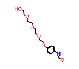 O=CNc1ccc(OCCOCCOCCOCCO)cc1